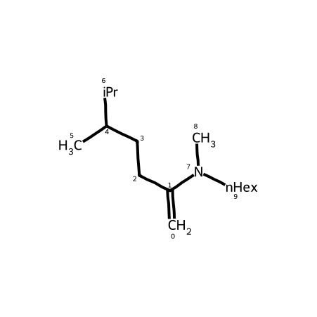 C=C(CCC(C)C(C)C)N(C)CCCCCC